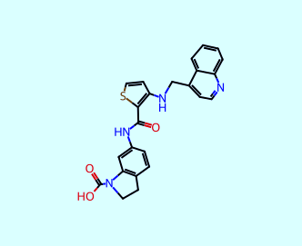 O=C(Nc1ccc2c(c1)N(C(=O)O)CC2)c1sccc1NCc1ccnc2ccccc12